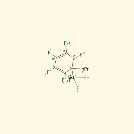 CCCC1([AsH](F)(F)F)C(F)=C(F)C(F)=C(F)C1F